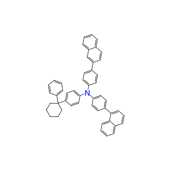 c1ccc(C2(c3ccc(N(c4ccc(-c5ccc6ccccc6c5)cc4)c4ccc(-c5cccc6ccccc56)cc4)cc3)CCCCC2)cc1